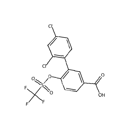 O=C(O)c1ccc(OS(=O)(=O)C(F)(F)F)c(-c2ccc(Cl)cc2Cl)c1